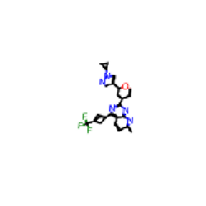 Cc1ccc2c(C34CC(C(F)(F)F)(C3)C4)nc(C3CCOC(c4cnn(C5CC5)c4)C3)nc2n1